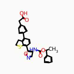 CC(OC(=O)Nc1cnoc1-c1ccc(-c2ccc(CC(=O)O)cc2)c2c1SCC2)c1ccccc1